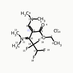 CCOC(=O)/C(=C\N(C)C)C(=[N+](C)C)C(F)(F)C(F)F.[Cl-]